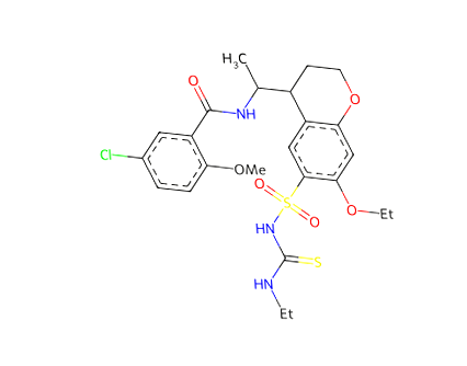 CCNC(=S)NS(=O)(=O)c1cc2c(cc1OCC)OCCC2C(C)NC(=O)c1cc(Cl)ccc1OC